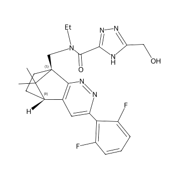 CCN(C[C@@]12CC[C@@H](c3cc(-c4c(F)cccc4F)nnc31)C2(C)C)C(=O)c1nnc(CO)[nH]1